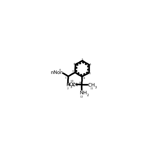 CCCCCCCCCC(CCCCCCCC)c1ccccc1C(C)(C)N